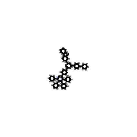 C\C=C(/C(=C(\C(=C\c1ccc(-c2nc(-c3ccc(-c4ccccc4)cc3)nc(-c3ccc4c(c3)oc3ccccc34)n2)cc1)c1ccccc1)c1ccccc1)c1ccccc1)c1ccccc1